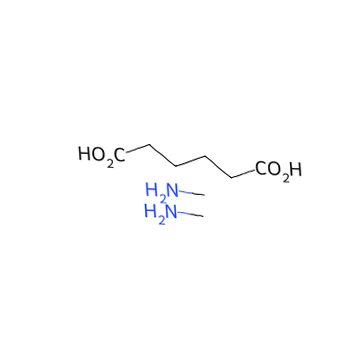 CN.CN.O=C(O)CCCCC(=O)O